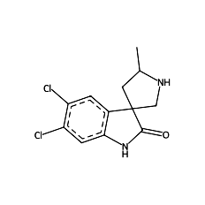 CC1CC2(CN1)C(=O)Nc1cc(Cl)c(Cl)cc12